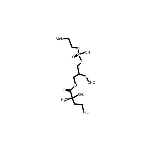 CNCCOP(=O)(O)OCC(COC(=O)C(C)(C)CCC(C)(C)C)OC=O